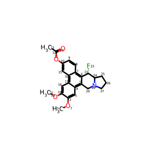 COc1cc2c3c(c4ccc(OC(C)=O)cc4c2cc1OC)[C@H](F)C1CCCN1C3